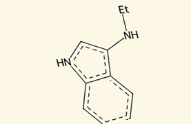 [CH2]CNc1c[nH]c2ccccc12